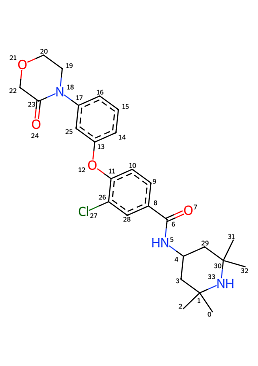 CC1(C)CC(NC(=O)c2ccc(Oc3cccc(N4CCOCC4=O)c3)c(Cl)c2)CC(C)(C)N1